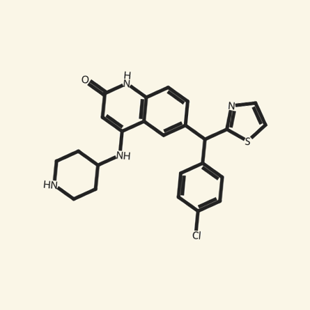 O=c1cc(NC2CCNCC2)c2cc(C(c3ccc(Cl)cc3)c3nccs3)ccc2[nH]1